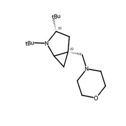 CC(C)(C)[C@@H]1C[C@@]2(CN3CCOCC3)CC2N1C(C)(C)C